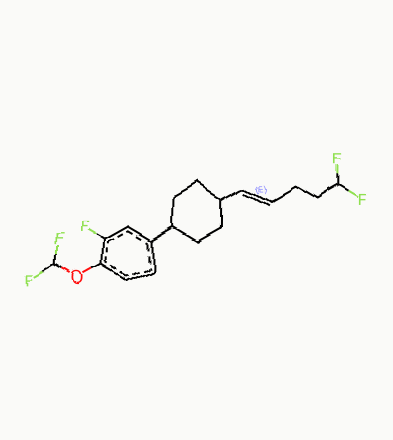 Fc1cc(C2CCC(/C=C/CCC(F)F)CC2)ccc1OC(F)F